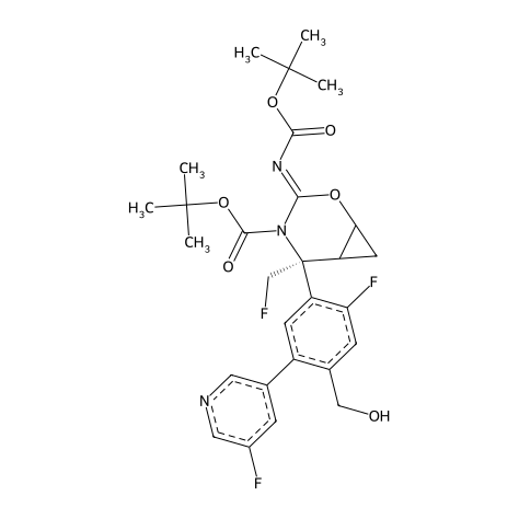 CC(C)(C)OC(=O)/N=C1\OC2CC2[C@@](CF)(c2cc(-c3cncc(F)c3)c(CO)cc2F)N1C(=O)OC(C)(C)C